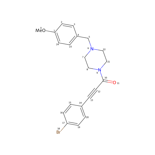 COc1ccc(CN2CCN(C(=O)C#Cc3ccc(Br)cc3)CC2)cc1